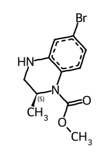 COC(=O)N1c2ccc(Br)cc2NC[C@@H]1C